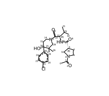 CC(=O)N1CC[C@@H](C(=O)N[C@@H](C(=O)N2CC[C@](O)(c3ccc(Cl)cc3)C(C)(C)C2)C(C)C)C1